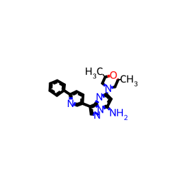 C[C@@H]1CN(c2cc(N)n3ncc(-c4ccc(-c5ccccc5)nc4)c3n2)C[C@H](C)O1